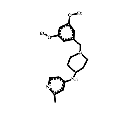 CCOc1cc(CN2CCC(Nc3ccnc(C)c3)CC2)cc(OCC)c1